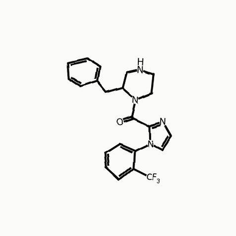 O=C(c1nccn1-c1ccccc1C(F)(F)F)N1CCNCC1Cc1ccccc1